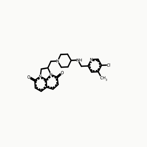 Cc1cc(CNC2CCN(CC3Cn4c(=O)ccc5ccc(=O)n3c54)CC2)ncc1Cl